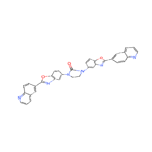 O=C1N(c2ccc3oc(-c4ccc5ncccc5c4)nc3c2)CCN1c1ccc2oc(-c3ccc4ncccc4c3)nc2c1